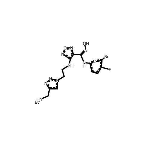 CCNCc1cn(CCNc2nonc2C(=NO)Nc2ccc(F)c(Br)c2)nn1